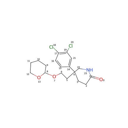 O=C1CCC(CCOC2CCCCO2)(c2ccc(Cl)c(Cl)c2)CN1